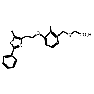 Cc1oc(-c2ccccc2)nc1CCOc1cccc(CSCC(=O)O)c1C